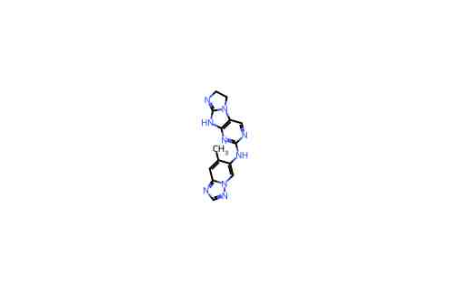 Cc1cc2ncnn2cc1Nc1ncc2c(n1)NC1=NCCN12